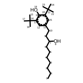 CCCCCCCC(O)CCc1cc(C(C)(C)C)c(O)c(C(C)(C)C)c1